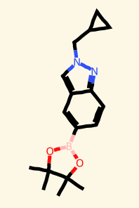 CC1(C)OB(c2ccc3nn(CC4CC4)cc3c2)OC1(C)C